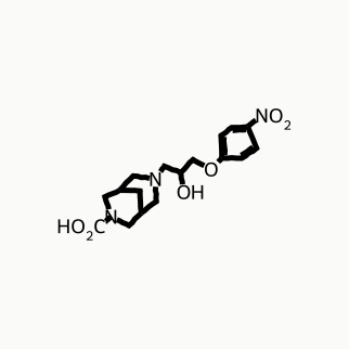 O=C(O)N1CC2CC(CN(CC(O)COc3ccc([N+](=O)[O-])cc3)C2)C1